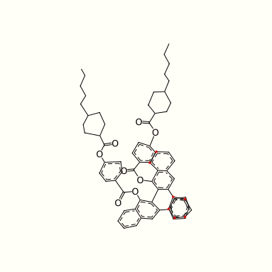 CCCCCC1CCC(C(=O)Oc2ccc(C(=O)Oc3c(-c4c(-c5ccccc5)cc5ccccc5c4OC(=O)c4ccc(OC(=O)C5CCC(CCCCC)CC5)cc4)c(-c4ccccc4)cc4ccccc34)cc2)CC1